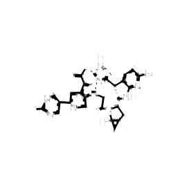 CC(=O)c1nn(CC(=O)N2[C@H](C(=O)Nc3nc(Br)ccc3Cc3nn[nH]n3)C[C@@]3(C)C[C@@H]23)c2cnc(-c3cnc(C)nc3)cc12